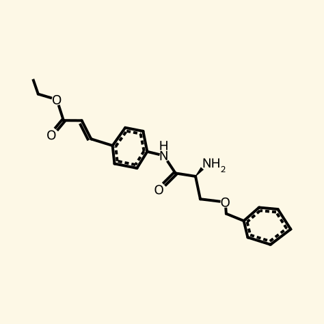 CCOC(=O)/C=C/c1ccc(NC(=O)[C@@H](N)COCc2ccccc2)cc1